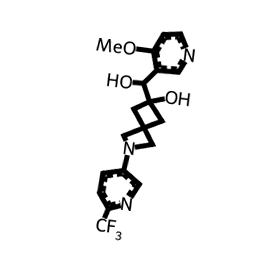 COc1ccncc1C(O)C1(O)CC2(CN(c3ccc(C(F)(F)F)nc3)C2)C1